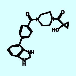 O=C(c1ccc(-c2cccc3c2NCN3)cc1)N1CCN(C(=O)C2(O)CC2)CC1